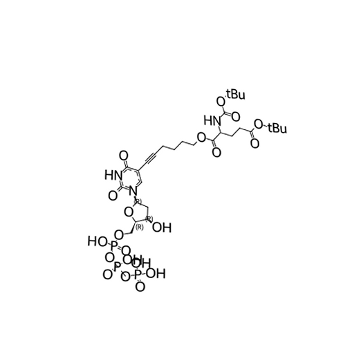 CC(C)(C)OC(=O)CCC(NC(=O)OC(C)(C)C)C(=O)OCCCCC#Cc1cn([C@H]2C[C@@H](O)[C@@H](COP(=O)(O)OP(=O)(O)OP(=O)(O)O)O2)c(=O)[nH]c1=O